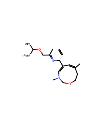 C=C[C@@H](/N=C(\C)COC(CCC)CCCCC)C1=C/N(C)COCC/C(C)=C\1